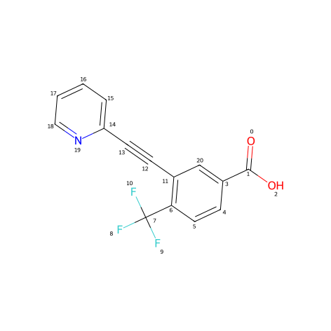 O=C(O)c1ccc(C(F)(F)F)c(C#Cc2ccccn2)c1